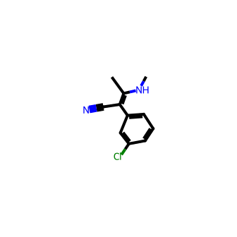 CNC(C)=C(C#N)c1cccc(Cl)c1